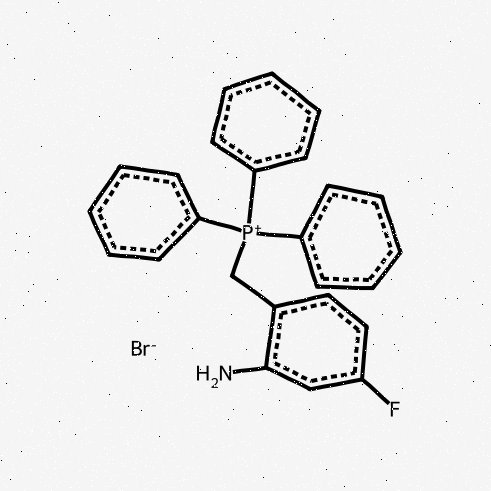 Nc1cc(F)ccc1C[P+](c1ccccc1)(c1ccccc1)c1ccccc1.[Br-]